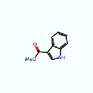 COC(=O)c1c[nH]c2c[c]ccc12